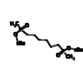 CCCCOP(C)(=O)CCCCCCP(C)(=O)OCCCC